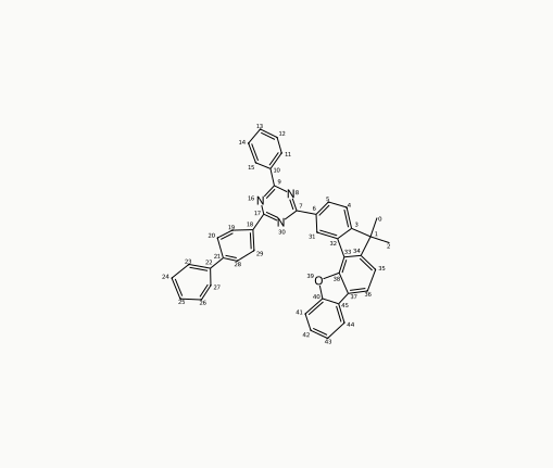 CC1(C)c2ccc(-c3nc(-c4ccccc4)nc(-c4ccc(-c5ccccc5)cc4)n3)cc2-c2c1ccc1c2oc2ccccc21